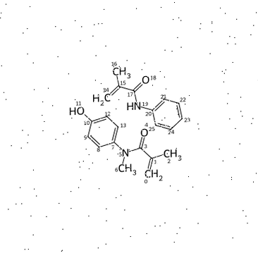 C=C(C)C(=O)N(C)c1ccc(O)cc1.C=C(C)C(=O)Nc1ccccc1